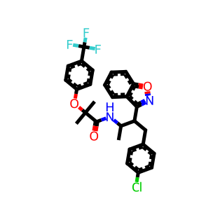 CC(NC(=O)C(C)(C)Oc1ccc(C(F)(F)F)cc1)C(Cc1ccc(Cl)cc1)c1noc2ccccc12